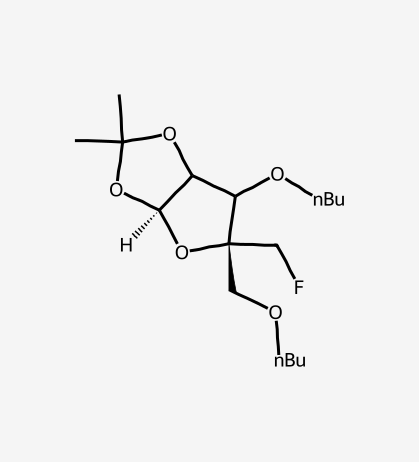 CCCCOC[C@@]1(CF)O[C@H]2OC(C)(C)OC2C1OCCCC